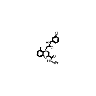 CCCNC(=O)C1CN(CC(=O)Nc2cccc(Cl)c2)c2c(C)cccc2O1